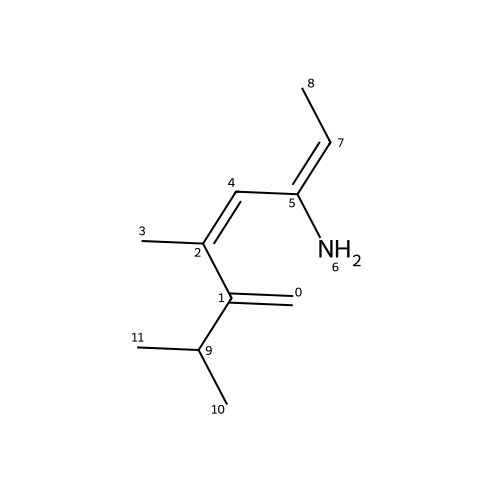 C=C(/C(C)=C\C(N)=C/C)C(C)C